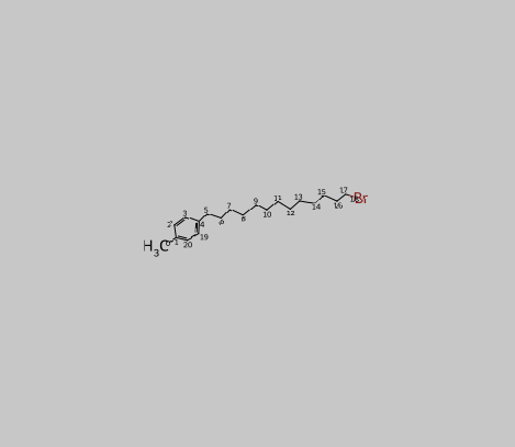 Cc1ccc(CCCCCCCCCCCCCBr)cc1